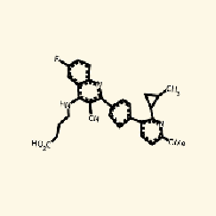 COc1ccc(-c2ccc(-c3nc4ccc(F)cc4c(NCCCC(=O)O)c3C#N)cc2)c(C2CC2C)n1